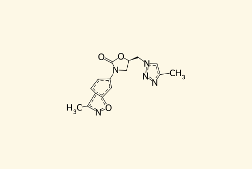 Cc1cn(C[C@H]2CN(c3ccc4c(C)noc4c3)C(=O)O2)nn1